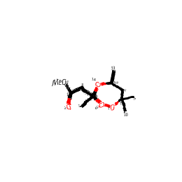 COC(=O)CC1(C)OOC(C)(C)CC(C)O1